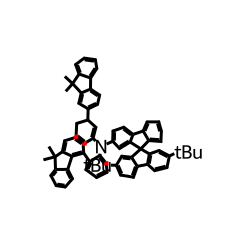 CC(C)(C)c1ccc2c(c1)C1(c3ccccc3-c3ccc(N(C4=CC(c5ccc6c(c5)C(C)(C)c5ccccc5-6)CC=C4)c4ccccc4-c4cccc5c4-c4ccccc4C5(C)C)cc31)c1cc(C(C)(C)C)ccc1-2